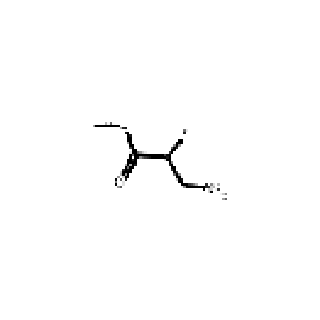 COC(=O)C(F)CN